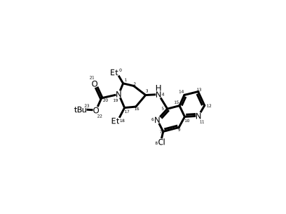 CCC1CC(Nc2nc(Cl)cc3ncccc23)CC(CC)N1C(=O)OC(C)(C)C